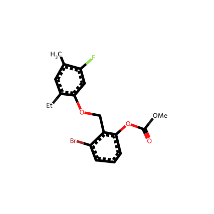 CCc1cc(C)c(F)cc1OCc1c(Br)cccc1OC(=O)OC